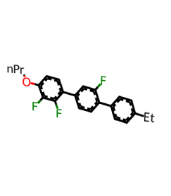 CCCOc1ccc(-c2ccc(-c3ccc(CC)cc3)c(F)c2)c(F)c1F